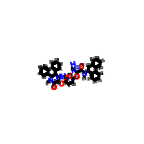 CN(C(=O)C(N)OC(=O)/C=C\C(=O)OC(N)C(=O)N(C)C(Cc1ccccc1)c1ccccc1)C(Cc1ccccc1)c1ccccc1